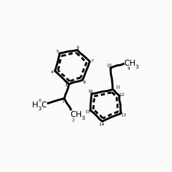 CC(C)c1ccccc1.CCc1ccccc1